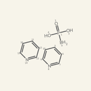 BP(=O)(O)O.c1ccncc1.c1ccncc1